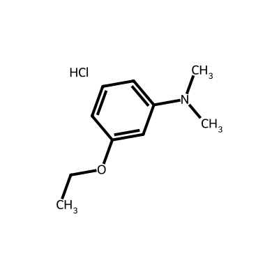 CCOc1cccc(N(C)C)c1.Cl